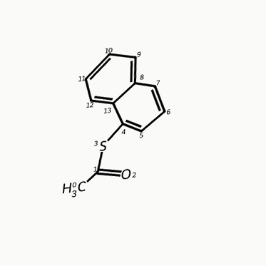 CC(=O)Sc1cccc2ccccc12